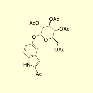 CC(=O)OC[C@H]1OC(Oc2ccc3[nH]c(C(C)=O)cc3c2)[C@H](OC(C)=O)[C@@H](OC(C)=O)[C@H]1OC(C)=O